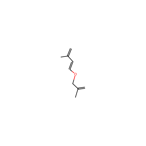 C=C(C)C=COCC(=C)C